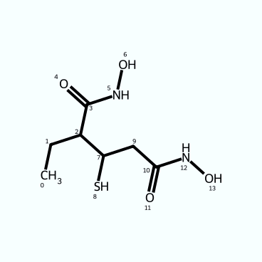 CCC(C(=O)NO)C(S)CC(=O)NO